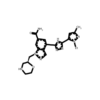 CCn1nc(C)cc1-c1nnc(-c2cc(C(N)=O)cc3c2cnn3C[C@@H]2CNCCO2)[nH]1